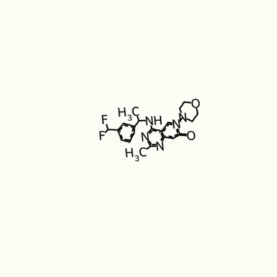 Cc1nc(NC(C)c2cccc(C(F)F)c2)c2cn(N3CCOCC3)c(=O)cc2n1